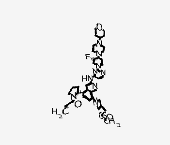 C=CC(=O)N1CCC[C@H]1c1ccc(N2CC(CS(C)(=O)=O)C2)c2cnc(Nc3ccnc(N4CC[C@@H](N5CCN(C6CCOCC6)CC5)[C@@H](F)C4)n3)cc12